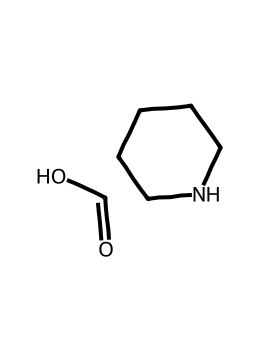 C1CCNCC1.O=CO